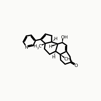 C[C@]12CCC(=O)CC1=C[C@H](O)[C@@H]1[C@@H]2CC[C@]2(C)C(c3cccnc3)=CC[C@@H]12